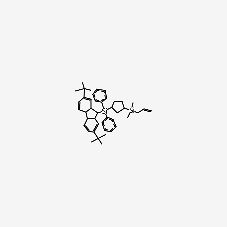 C=CC[Si](C)(C)C1CCC([Si](c2ccccc2)(c2ccccc2)C2C3C=C(C(C)(C)C)C=CC3C3C=CC(C(C)(C)C)=CC32)C1